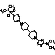 CC(C)S(=O)(=O)c1ccc(N2CCC(C3CCN(c4nc(N(C)C)ns4)CC3)CC2)cc1